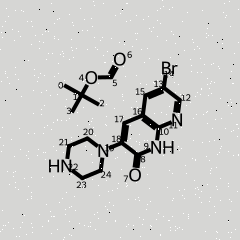 CC(C)(C)OC=O.O=c1[nH]c2ncc(Br)cc2cc1N1CCNCC1